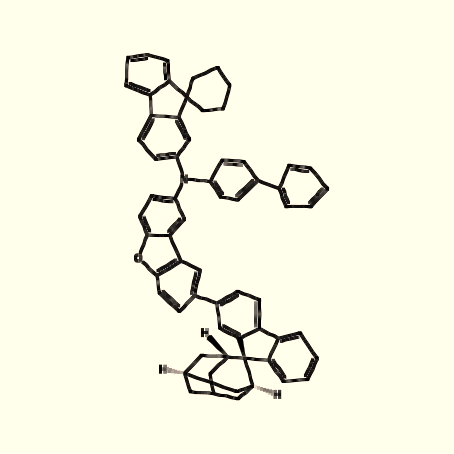 c1ccc(-c2ccc(N(c3ccc4c(c3)C3(CCCCC3)c3ccccc3-4)c3ccc4oc5ccc(-c6ccc7c(c6)[C@]6(c8ccccc8-7)[C@@H]7CC8C[C@@H](C7)C[C@@H]6C8)cc5c4c3)cc2)cc1